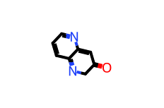 O=C1C=c2ncccc2=NC1